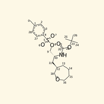 Cc1ccc(S(=O)(=O)OC[C@@H](C[C@H]2CCCCOC2)NC(=O)OC(C)(C)C)cc1